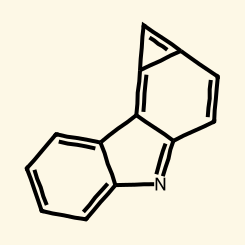 c1ccc2c(c1)nc1ccc3cc3c12